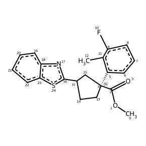 COC(=O)[C@@]1(c2cccc(F)c2C)CCC(c2nc3ccccc3s2)C1